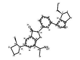 CC[C@H]1CCc2nnc(-c3cccc(N4Cc5c(cc(N6CCC[C@H]6C)nc5C(C)N)C4=O)n3)n21